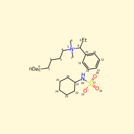 CCCCCCCCCCCCCC[N+](C)(C)C(CC)c1ccccc1.O=S(=O)([O-])NC1CCCCC1